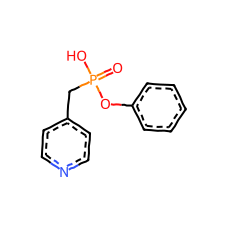 O=P(O)(Cc1ccncc1)Oc1ccccc1